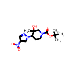 CC(C)(C)OC(=O)N1CCC(n2cc([N+](=O)[O-])cn2)C(C)(O)C1